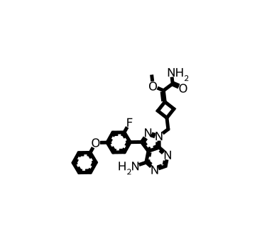 COC(C(N)=O)=C1CC(Cn2nc(-c3ccc(Oc4ccccc4)cc3F)c3c(N)ncnc32)C1